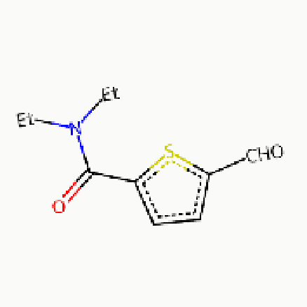 CCN(CC)C(=O)c1ccc(C=O)s1